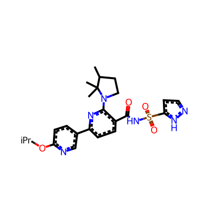 CC(C)Oc1ccc(-c2ccc(C(=O)NS(=O)(=O)c3ccn[nH]3)c(N3CCC(C)C3(C)C)n2)cn1